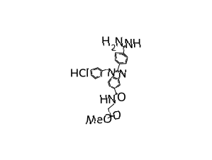 COC(=O)CCNC(=O)c1ccc2c(c1)nc(-c1ccc(C(=N)N)cc1)n2Cc1ccccc1.Cl